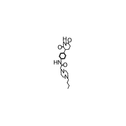 CCCCN1CCN(CC(=O)Nc2ccc(C3CCC(=O)NC3=O)cc2)CC1